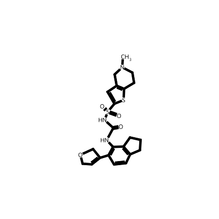 CN1CCc2sc(S(=O)(=O)NC(=O)Nc3c(C4=CCOC4)ccc4c3CCC4)cc2C1